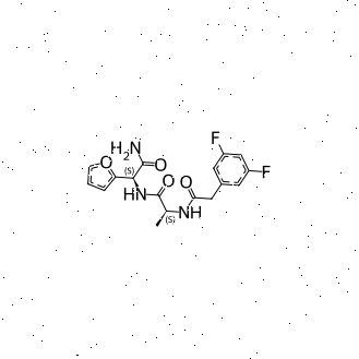 C[C@H](NC(=O)Cc1cc(F)cc(F)c1)C(=O)N[C@H](C(N)=O)c1ccco1